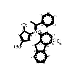 CCC1C=C(C(C)(C)C)C=[C]1/[Zr+2](=[C](\C)c1ccccc1)[c]1cccc2c1Cc1ccccc1-2.[Cl-].[Cl-]